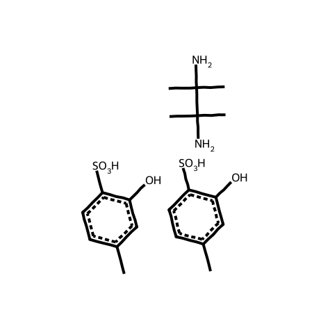 CC(C)(N)C(C)(C)N.Cc1ccc(S(=O)(=O)O)c(O)c1.Cc1ccc(S(=O)(=O)O)c(O)c1